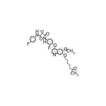 COc1cc2c(Oc3ccc(NC(=O)C4(C(=O)Nc5ccc(F)cc5)CC4)cc3F)ccnc2cc1OCCCCCC(C)=O